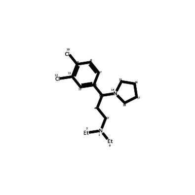 CCN(CC)CCC(c1ccc(Cl)c(Cl)c1)N1CCCC1